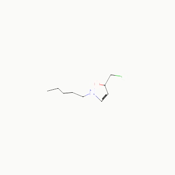 CCCCCN1C=CC(CCl)O1